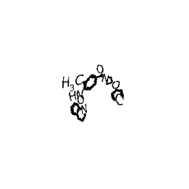 Cc1cc(C(=O)N2CC(Oc3ccccc3)C2)ccc1NOc1cccc2cccnc12